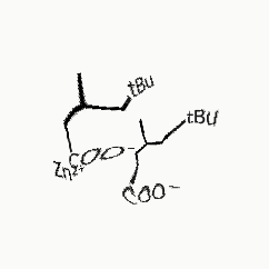 CC(CC(=O)[O-])CC(C)(C)C.CC(CC(=O)[O-])CC(C)(C)C.[Zn+2]